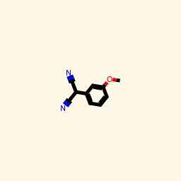 COc1cccc(C(C#N)C#N)c1